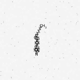 CCCCCCCCOC1COC(c2ccc(COc3ccc(C#N)c(F)c3F)cc2)CO1